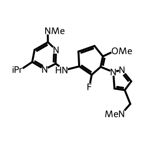 CNCc1cnn(-c2c(OC)ccc(Nc3nc(NC)cc(C(C)C)n3)c2F)c1